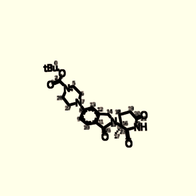 CC(C)(C)OC(=O)N1CCN(c2ccc3c(c2)CN([C@@]2(C)CCC(=O)NC2=O)C3=O)CC1